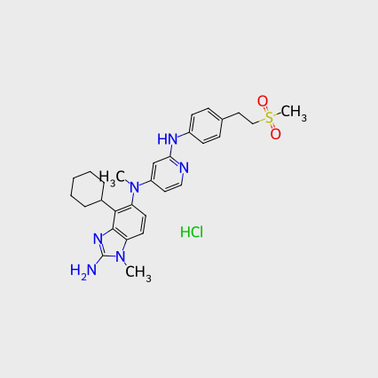 CN(c1ccnc(Nc2ccc(CCS(C)(=O)=O)cc2)c1)c1ccc2c(nc(N)n2C)c1C1CCCCC1.Cl